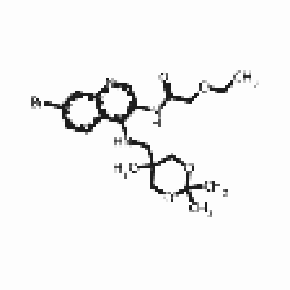 CCOCC(=O)Nc1cnc2cc(Br)ccc2c1NCC1(C)COC(C)(C)OC1